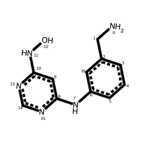 NCc1cccc(Nc2cc(NO)ncn2)c1